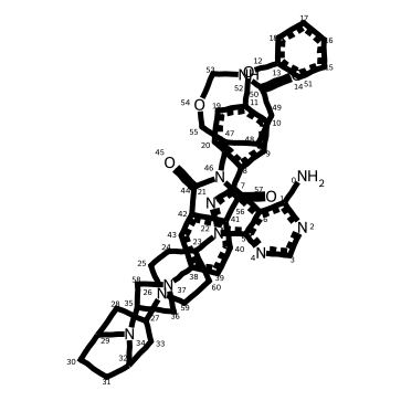 Nc1ncnc2c1c(-c1ccc(Oc3ccccc3)cc1)nn2C1CCN(C2CC3CCC(C2)N3C2CN(c3ccc4c(c3)C(=O)N(C3CCC(=O)NCOC3)C4=O)C2)CC1